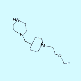 CCOCCN1CCC(CN2CCNCC2)CC1